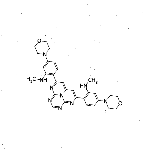 CNc1cc(N2CCOCC2)ccc1C1=CC2=CC(c3ccc(N4CCOCC4)cc3NC)=NC3=NC=NC(=N1)N23